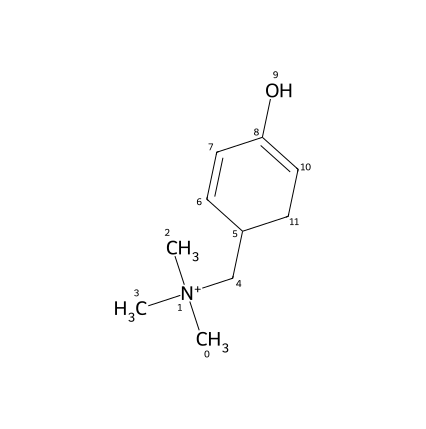 C[N+](C)(C)CC1C=CC(O)=CC1